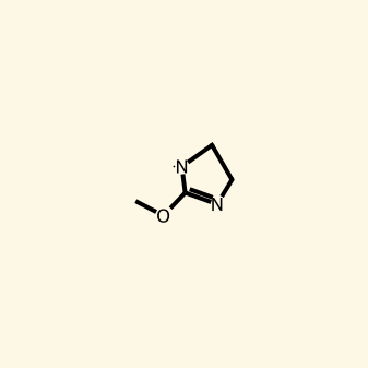 COC1=NCC[N]1